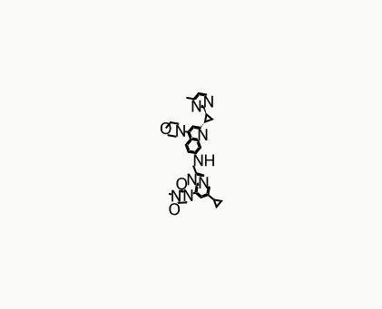 Cc1ccnc([C@H]2C[C@@H]2c2cc(N3CCOCC3)c3ccc(NCc4cn5cc(C6CC6)cc(N6CC(=O)N(C)C6=O)c5n4)cc3n2)n1